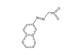 O=[SH](=O)CN=Nc1ccc2ccccc2c1